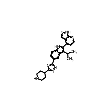 CC(C)c1c(-c2ccnc3[nH]ncc23)[nH]c2ccc(-c3nnc(C4CCNCC4)o3)cc12